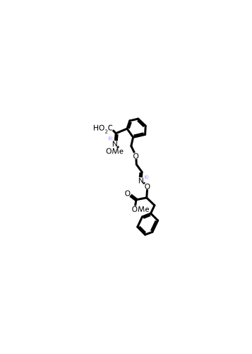 CO/N=C(/C(=O)O)c1ccccc1COC/C=N/OC(Cc1ccccc1)C(=O)OC